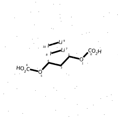 O=C(O)OCCCOC(=O)O.[Li][I].[Li][I]